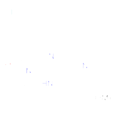 COc1cncc(Nc2nc3ccc(F)cc3c(=O)n2-c2ccccc2)c1